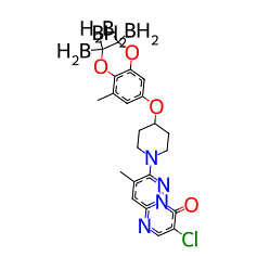 BC1(B)Oc2cc(OC3CCN(c4nn5c(=O)c(Cl)cnc5cc4C)CC3)cc(C)c2OC1(B)B